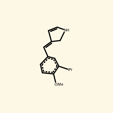 COc1ccc(C=C2C=CNC2)cc1C(C)C